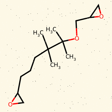 CC(C)(CCCC1CO1)C(C)(C)OCC1CO1